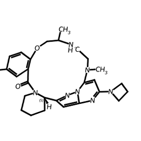 CC1COc2ccc(F)cc2C(=O)N2CCCC[C@H]2c2cc3nc(N4CCC4)cc(n3n2)N(C)CCN1